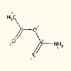 CC(=O)OC(N)=S